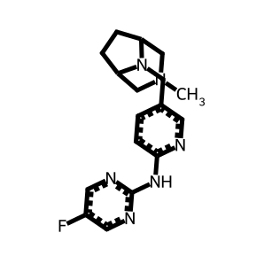 CN1CC2CCC(C1)N2Cc1ccc(Nc2ncc(F)cn2)nc1